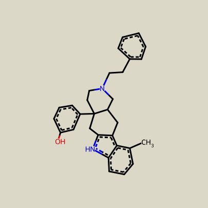 Cc1cccc2[nH]c3c(c12)CC1CN(CCc2ccccc2)CCC1(c1cccc(O)c1)C3